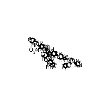 Cc1ccccc1[C@@H]1CN(c2ccncn2)CCN1C1CC2(CCN(c3ccc(C(=O)NS(=O)(=O)c4ccc(NCC5CCOCC5)c([N+](=O)[O-])c4)c(N4c5cc6cc[nH]c6nc5O[C@H]5COCC[C@@H]54)c3)CC2)C1